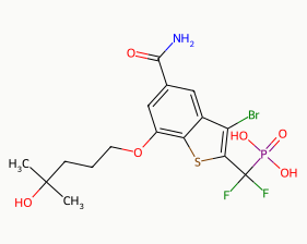 CC(C)(O)CCCOc1cc(C(N)=O)cc2c(Br)c(C(F)(F)P(=O)(O)O)sc12